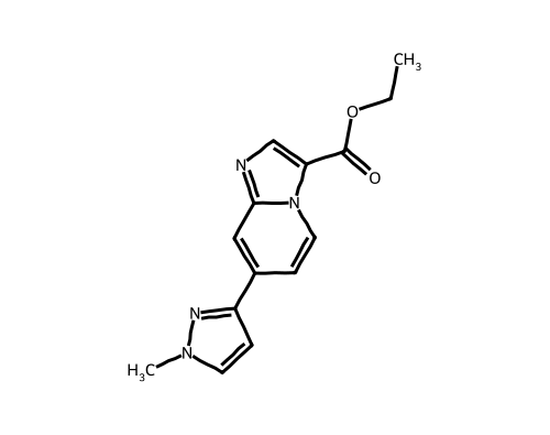 CCOC(=O)c1cnc2cc(-c3ccn(C)n3)ccn12